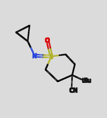 CC(C)(C)C1(C#N)CCS(=O)(=NC2CC2)CC1